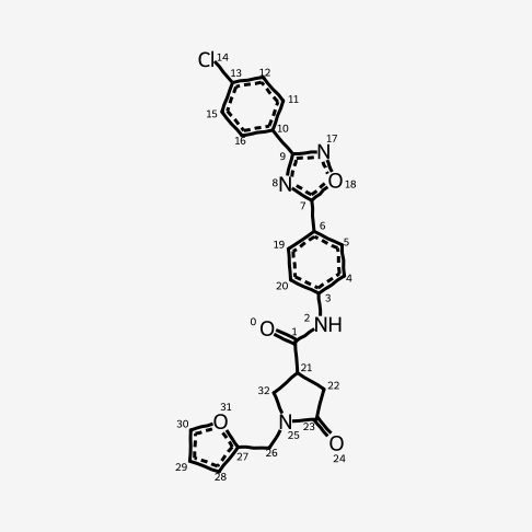 O=C(Nc1ccc(-c2nc(-c3ccc(Cl)cc3)no2)cc1)C1CC(=O)N(Cc2ccco2)C1